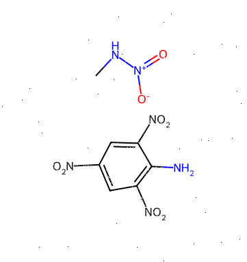 CN[N+](=O)[O-].Nc1c([N+](=O)[O-])cc([N+](=O)[O-])cc1[N+](=O)[O-]